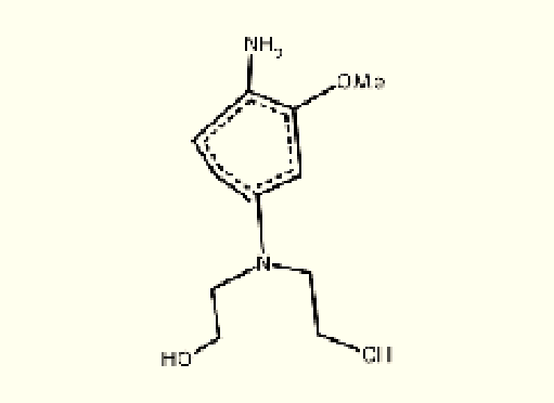 COc1cc(N(CCO)CCO)ccc1N